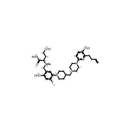 C=CCCc1nc(N2CCN(CC3CCN(c4cc(CN(C)C(CCC=O)C(=O)NC)c(C=O)cc4F)CC3)CC2)ccc1C=O